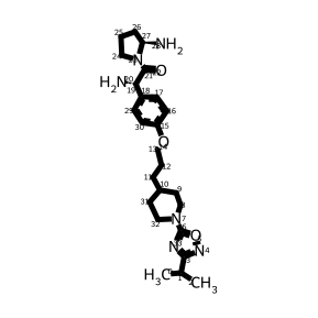 CC(C)c1noc(N2CCC(CCCOc3ccc([C@H](N)C(=O)N4CCC[C@H]4N)cc3)CC2)n1